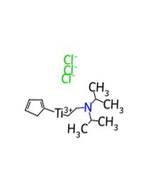 CC(C)N(C[CH2][Ti+3][C]1=CC=CC1)C(C)C.[Cl-].[Cl-].[Cl-]